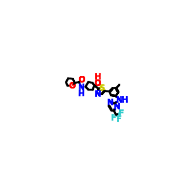 Cc1cc(Nc2nccc(C(F)(F)F)n2)cc(-c2cnc([C@]3(O)CC[C@H](NC(=O)C4CCCCO4)CC3)s2)c1